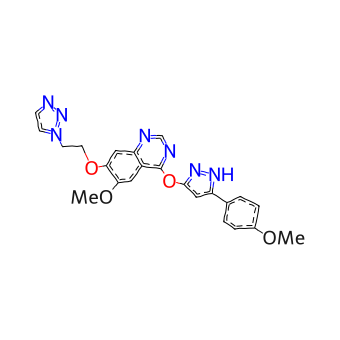 COc1ccc(-c2cc(Oc3ncnc4cc(OCCn5ccnn5)c(OC)cc34)n[nH]2)cc1